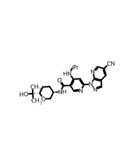 CC(C)Nc1cc(-n2ncc3cc(C#N)cnc32)ncc1C(=O)N[C@@H]1CC[C@@H](C(C)(C)O)OC1